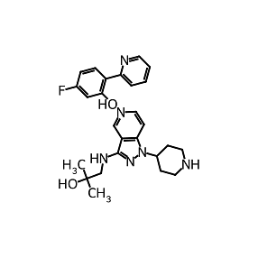 CC(C)(O)CNc1nn(C2CCNCC2)c2ccncc12.Oc1cc(F)ccc1-c1ccccn1